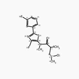 CC(C[S+](C)[O-])C(=O)N(C)c1sc(-c2cncc(F)c2)nc1F